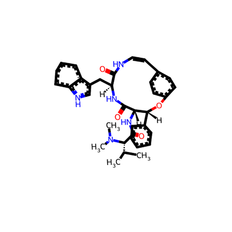 CC(C)[C@@H](C(=O)N[C@@H]1C(=O)N[C@@H](Cc2c[nH]c3ccccc23)C(=O)N/C=C\c2ccc(cc2)O[C@@H]1c1ccccc1)N(C)C